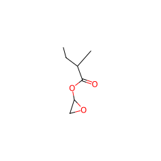 CCC(C)C(=O)OC1CO1